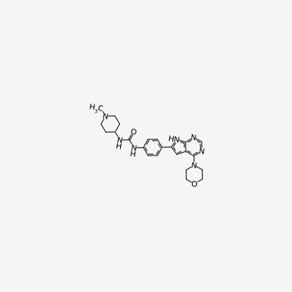 CN1CCC(NC(=O)Nc2ccc(-c3cc4c(N5CCOCC5)ncnc4[nH]3)cc2)CC1